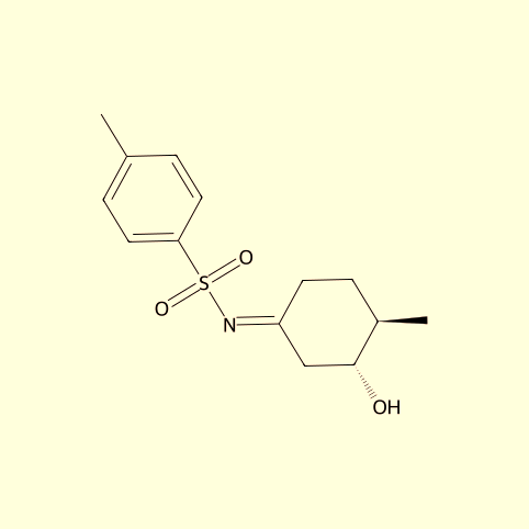 Cc1ccc(S(=O)(=O)/N=C2\CC[C@@H](C)[C@H](O)C2)cc1